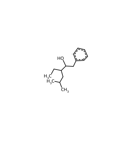 CCC(CC(C)C)C(O)Cc1[c]cccc1